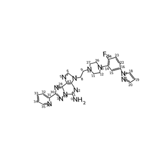 Nc1nc2c(ncn2CCN2CCN(c3cc(-n4cccn4)ccc3F)CC2)c2nc(-c3ccccn3)nn12